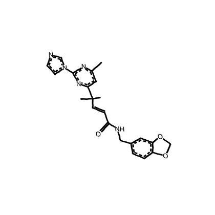 Cc1cc(C(C)(C)/C=C/C(=O)NCc2ccc3c(c2)OCO3)nc(-n2ccnc2)n1